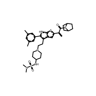 C=C(C(=O)N1C2CCC1CC2)c1cc2c(CCN3CCC(NS(=O)(=O)N(C)C)CC3)c(-c3cc(C)cc(C)c3)[nH]c2s1